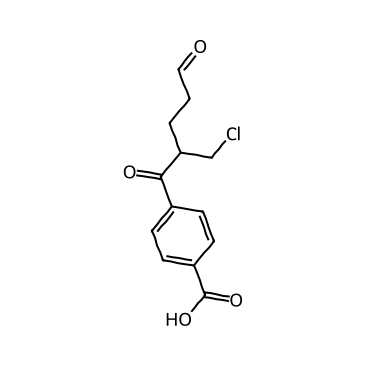 O=CCCC(CCl)C(=O)c1ccc(C(=O)O)cc1